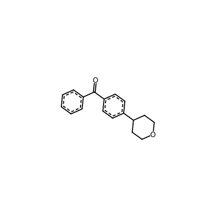 O=C(c1ccccc1)c1ccc(C2CCOCC2)cc1